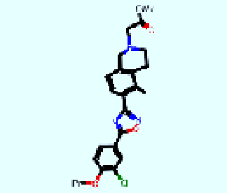 COC(=O)CN1CCc2c(ccc(-c3noc(-c4ccc(OC(C)C)c(Cl)c4)n3)c2C)C1